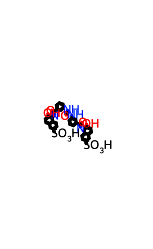 O=C(Nc1cccc(C(=O)N=C2C(O)=CC=C3CC(S(=O)(=O)O)=CC=C32)c1)Nc1cccc(C(=O)N=C2C(O)=CC=C3CC(S(=O)(=O)O)=CC=C32)c1